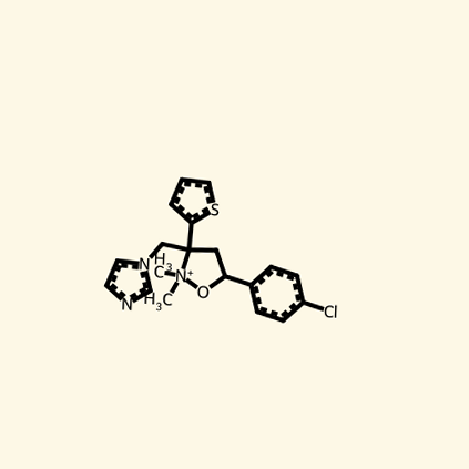 C[N+]1(C)OC(c2ccc(Cl)cc2)CC1(Cn1ccnc1)c1cccs1